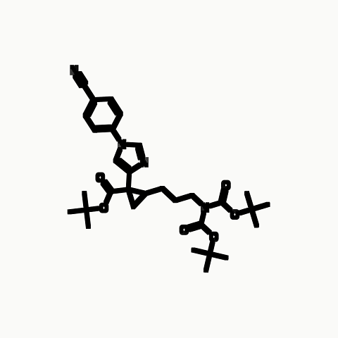 CC(C)(C)OC(=O)N(CCCC1CC1(C(=O)OC(C)(C)C)c1cn(-c2ccc(C#N)cc2)cn1)C(=O)OC(C)(C)C